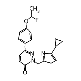 CC(F)Oc1ccc(-c2ccc(=O)n(CC3=NC(C4CC4)=CC3)n2)cc1